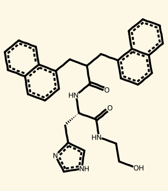 O=C(N[C@@H](Cc1c[nH]cn1)C(=O)NCCO)C(Cc1cccc2ccccc12)Cc1cccc2ccccc12